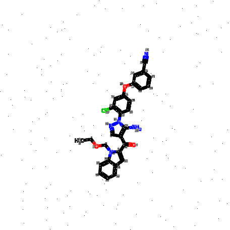 CCOCn1c(C(=O)c2cnn(-c3ccc(Oc4cccc(C#N)c4)cc3Cl)c2N)cc2ccccc21